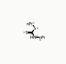 CCCNC(=S)SCCC